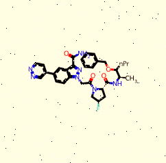 CCCC(OCc1ccccc1)[C@@H](C)NC(=O)[C@@H]1C[C@@H](F)CN1C(=O)Cn1nc(C(N)=O)c2cc(-c3ccnnc3)ccc21